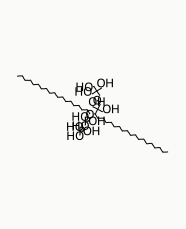 CCCCCCCCCCCCCCCCCCOC(CCCCCCCCCCCCCCCCCC)C(CO)(CO)COCC(CO)(CO)CO.OP(O)O.OP(O)O